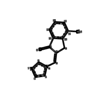 O=C1C(=Cn2ccnc2)Cc2c(Cl)cccc21